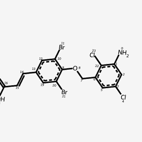 Nc1cc(Cl)cc(COc2c(Br)cc(/C=C/C(=O)O)cc2Br)c1Cl